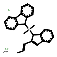 CC=CC1=Cc2ccccc2C1[Si](C)(C)C1c2ccccc2-c2ccccc21.[Cl-].[Cl-].[Zr+2]